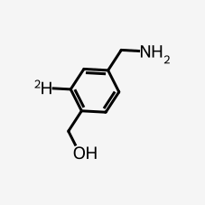 [2H]c1cc(CN)ccc1CO